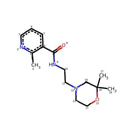 Cc1ncccc1C(=O)NCCN1CCOC(C)(C)C1